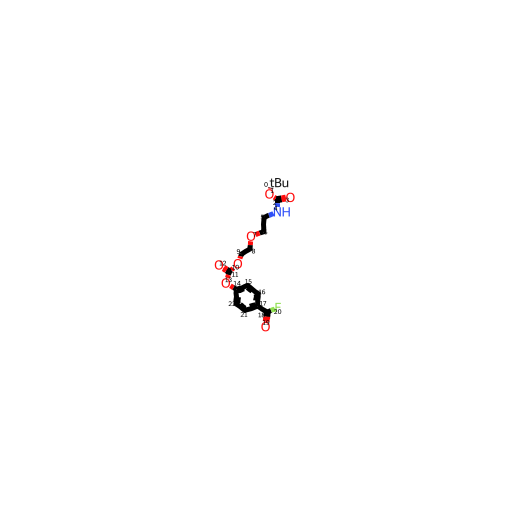 CC(C)(C)OC(=O)NCCOCCOC(=O)Oc1ccc(C(=O)F)cc1